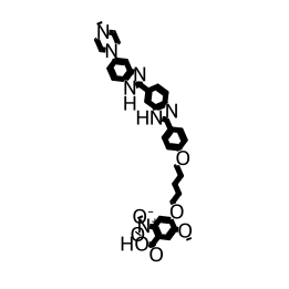 COc1cc(C(=O)O)c([N+](=O)[O-])cc1OCCCCCOc1ccc(-c2nc3ccc(-c4nc5cc(N6CCN(C)CC6)ccc5[nH]4)cc3[nH]2)cc1